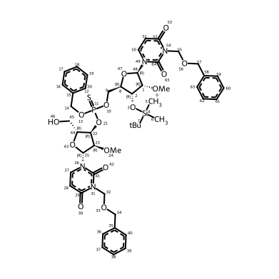 CO[C@@H]1[C@H](O[Si](C)(C)C(C)(C)C)[C@@H](COP(=S)(OCc2ccccc2)O[C@H]2[C@@H](OC)[C@H](n3ccc(=O)n(COCc4ccccc4)c3=O)O[C@@H]2CO)O[C@H]1n1ccc(=O)n(COCc2ccccc2)c1=O